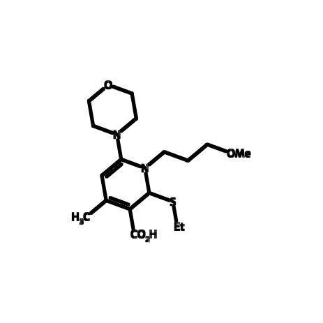 CCSC1C(C(=O)O)=C(C)C=C(N2CCOCC2)N1CCCOC